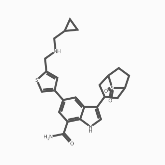 NC(=O)c1cc(-c2csc(CNCC3CC3)c2)cc2c(C3CC4CCC(C3)S4(=O)=O)c[nH]c12